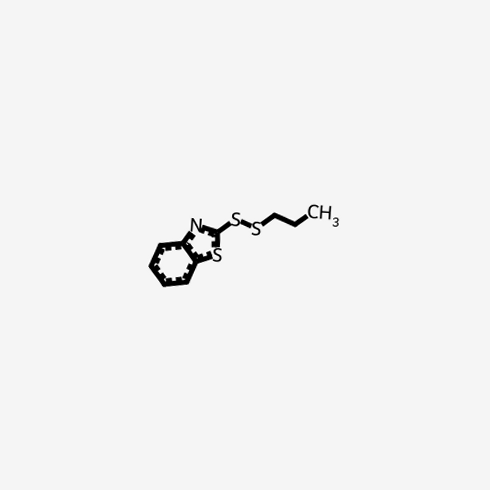 CCCSSc1nc2ccccc2s1